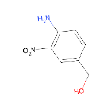 Nc1ccc(CO)cc1[N+](=O)[O-]